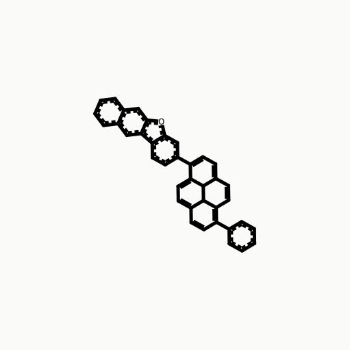 C1=CC2=C(c3ccccc3)C=CC3=CC=C4C(c5ccc6c(c5)oc5cc7ccccc7cc56)=CC=C1C4C32